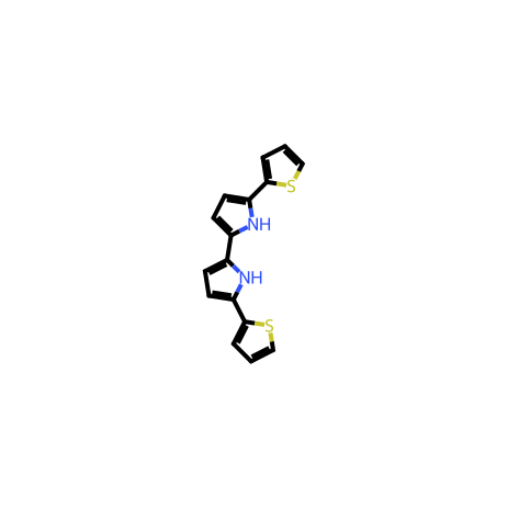 c1csc(-c2ccc(-c3ccc(-c4cccs4)[nH]3)[nH]2)c1